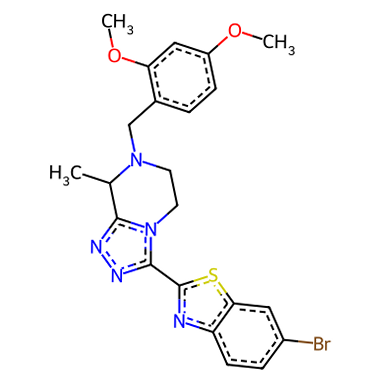 COc1ccc(CN2CCn3c(-c4nc5ccc(Br)cc5s4)nnc3C2C)c(OC)c1